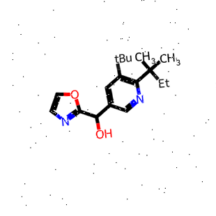 CCC(C)(C)c1ncc(C(O)c2ncco2)cc1C(C)(C)C